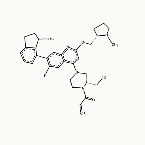 C=CC(=O)N1CCN(c2cc(OC[C@@H]3CCCN3C)nc3cc(-c4cccc5c4C(C)CC5)c(F)cc23)C[C@@H]1CC#N